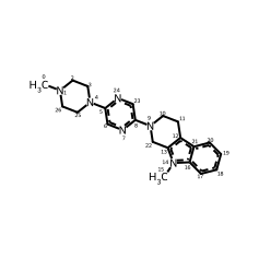 CN1CCN(c2cnc(N3CCc4c(n(C)c5ccccc45)C3)cn2)CC1